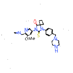 C=NCc1ncc(N2C(=O)C3(CCC3)N(c3ccc(CN4CCNCC4)cc3)C2=S)cc1OC